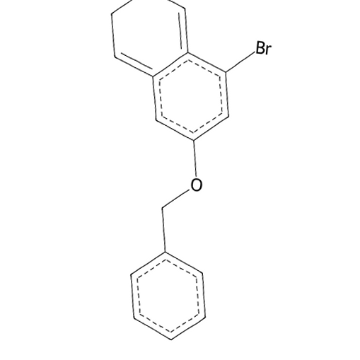 Brc1cc(OCc2ccccc2)cc2c1=CCCC=2